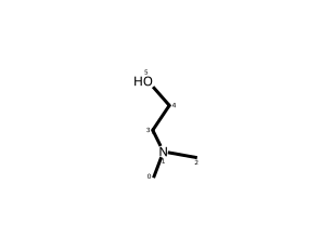 CN(C)[CH]CO